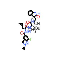 CN(C(=O)[C@H](CC1CC1)NC(=O)c1cc(F)c2nn(C3CC3)cc2c1)[C@@H](CC(C)(C)C)C(=O)N1C[C@]2(C[C@H]1C#N)C(=O)Nc1ccccc12